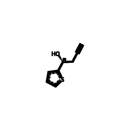 C#CC[C@@H](O)c1cccs1